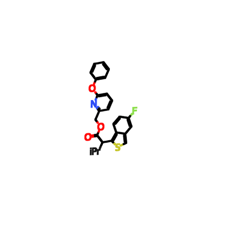 CC(C)C(C(=O)OCc1cccc(Oc2ccccc2)n1)c1scc2cc(F)ccc12